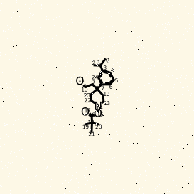 CC(C)c1cccc(C2(CC=O)CCN(OC(=O)C(C)(C)C)CC2)c1